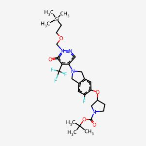 CC(C)(C)OC(=O)N1CCC(Oc2cc3c(cc2F)CN(c2cnn(COCC[Si](C)(C)C)c(=O)c2C(F)(F)F)C3)C1